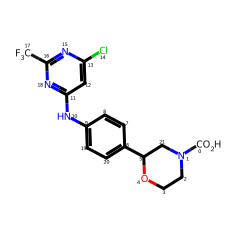 O=C(O)N1CCOC(c2ccc(Nc3cc(Cl)nc(C(F)(F)F)n3)cc2)C1